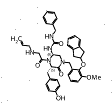 C=CCNCC(=O)N1[C@@H](NC(=O)NCc2ccccc2)CN(Cc2cccc(OC)c2OC2Cc3ccccc3C2)C(=O)[C@@H]1Cc1ccc(O)cc1